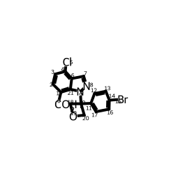 O=C(O)c1ccc(Cl)c2cnn(C3(c4ccc(Br)cc4)COC3)c12